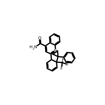 NC(=O)c1cc(C2C=CC=CC2(C(F)(F)F)C2(c3ccccc3)CC2)nc2ccccc12